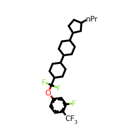 CCCC1CCC(C2CCC(C3CCC(C(F)(F)Oc4ccc(C(F)(F)F)c(F)c4)CC3)CC2)C1